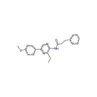 CCc1nc(-c2ccc(OC)cc2)cnc1NC(=O)CCc1ccccc1